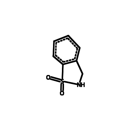 O=S1(=O)NCc2ccccc21